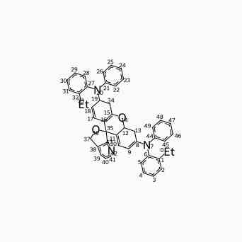 CCc1ccccc1N(C1=CC=C2C(C1)OC1=C(C=CC(N(c3ccccc3)c3ccccc3CC)C1)C21OCc2cccnc21)c1ccccc1